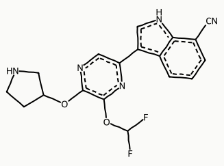 N#Cc1cccc2c(-c3cnc(OC4CCNC4)c(OC(F)F)n3)c[nH]c12